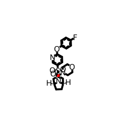 O=C(N1CCOCC1)N1[C@@H]2CC[C@H]1CN(S(=O)(=O)c1ccc(Oc3ccc(F)cc3)nc1)C2